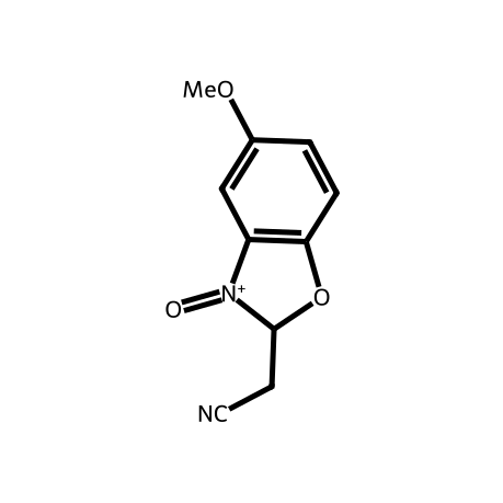 COc1ccc2c(c1)[N+](=O)C(CC#N)O2